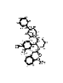 CC(C)Oc1ccccc1CC(=O)N1CCC[C@@H]([N+]23CCC(c4ccccc4)(CC2)CC3)C1c1ccc(Cl)c(Cl)c1